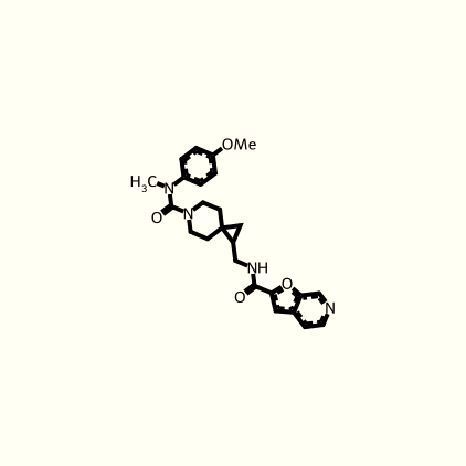 COc1ccc(N(C)C(=O)N2CCC3(CC2)CC3CNC(=O)c2cc3ccncc3o2)cc1